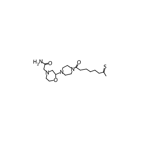 CC(=S)CCCCCC(=O)N1CCN(C2CN(CC(N)=O)CCO2)CC1